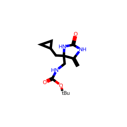 C=C1NC(=O)NC1(CNC(=O)OC(C)(C)C)CC1CC1